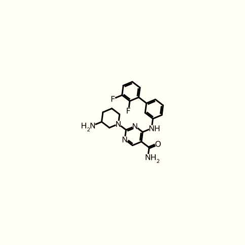 NC(=O)c1cnc(N2CCCC(N)C2)nc1Nc1cccc(-c2cccc(F)c2F)c1